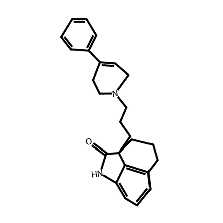 O=C1Nc2cccc3c2C1(CCCN1CC=C(c2ccccc2)CC1)CCC3